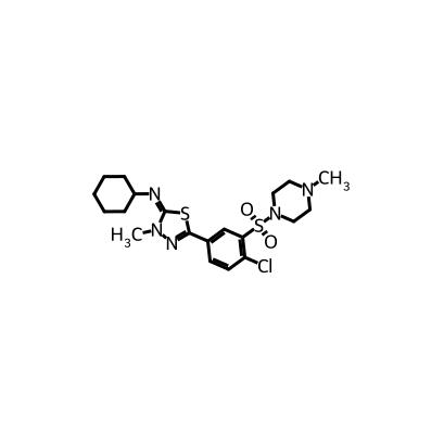 CN1CCN(S(=O)(=O)c2cc(-c3nn(C)/c(=N\C4CCCCC4)s3)ccc2Cl)CC1